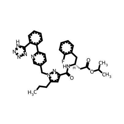 CCCc1cc(C(=O)N[C@@H](CC(=O)OC(C)C)Cc2ccccc2F)nn1Cc1ccc(-c2ccccc2-c2nnn[nH]2)nc1